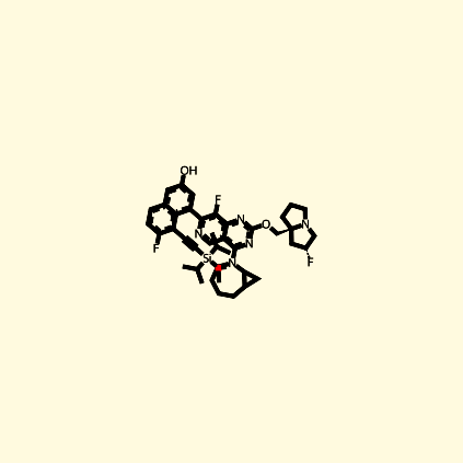 CC(C)[Si](C#Cc1c(F)ccc2cc(O)cc(-c3ncc4c(N5CCCCC6CC65)nc(OC[C@@]56CCCN5C[C@H](F)C6)nc4c3F)c12)(C(C)C)C(C)C